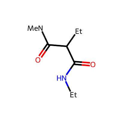 CCNC(=O)[C](CC)C(=O)NC